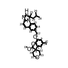 COC(=O)C1(c2cc(F)cc(OCc3ccc4c(c3)C=CC3=NNC(C)(CC(C)C)N34)c2)CCOCC1